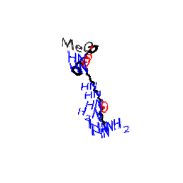 COc1ccccc1CC(=O)NC(Cc1ccccc1)C(=O)NCCCCCNCCCNCCCNC(=O)C(N)CCCNC(=N)N